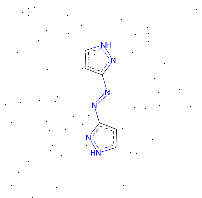 c1cc(N=Nc2cc[nH]n2)n[nH]1